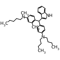 CCCCCN(C)c1ccc(C(c2ccc(N(CCCC)CCCC)cc2)c2c[nH]c3ccccc23)c(C)c1